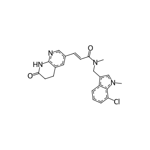 CN(Cc1cn(C)c2c(Cl)cccc12)C(=O)C=Cc1cnc2c(c1)CCC(=O)N2